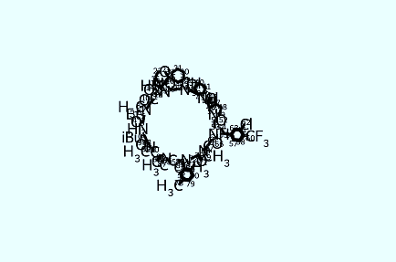 CC[C@H](C)[C@@H]1NC(=O)[C@H](CC)N(C)C(=O)C[C@@H](C(=O)N2C3CCC2COC3)N(C)C(=O)[C@H](C2CCCCC2)N(C)C(=O)C2(CCCC2)NC(=O)[C@@H]2CCCN2C(=O)[C@H](CCc2ccc(C(F)(F)F)c(Cl)c2)NC(=O)CN(C)C(=O)[C@H](Cc2ccc(C)cc2)N(C)C(=O)CN(C)C(=O)CN(C)C1=O